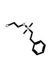 C[Si](C)(CCc1ccccc1)OCCCl